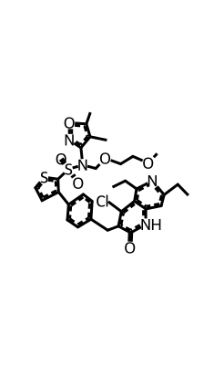 CCc1cc2[nH]c(=O)c(Cc3ccc(-c4ccsc4S(=O)(=O)N(COCCOC)c4noc(C)c4C)cc3)c(Cl)c2c(CC)n1